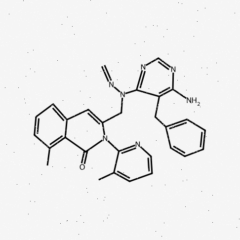 C=NN(Cc1cc2cccc(C)c2c(=O)n1-c1ncccc1C)c1ncnc(N)c1Cc1ccccc1